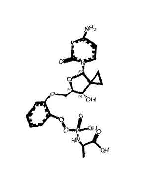 CC(NP(=O)(O)OOc1ccccc1OC[C@H]1O[C@@H](n2ccc(N)nc2=O)C2(CC2)[C@@H]1O)C(=O)O